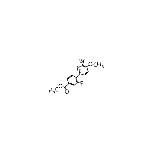 COC(=O)c1ccc(-c2ccc(OC)c(Br)n2)c(F)c1